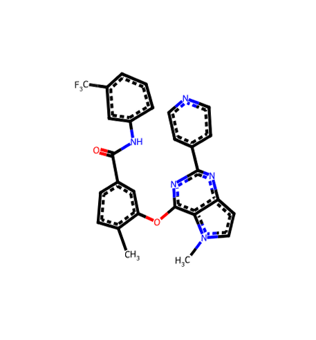 Cc1ccc(C(=O)Nc2cccc(C(F)(F)F)c2)cc1Oc1nc(-c2ccncc2)nc2ccn(C)c12